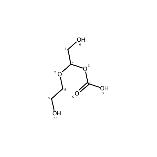 O=C(O)OC(CO)OCCO